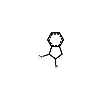 CC(C)C1Cc2ccccc2C1C(C)C